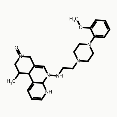 COc1ccccc1N1CCN(CCNN2C=C3C[N+](=O)CC(C)C3C3=CC=CNC32)CC1